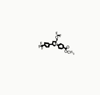 COC(=O)c1ccc(N2CC(c3ccc(C(F)(F)F)cc3)C[C@H]2COC(F)F)cc1